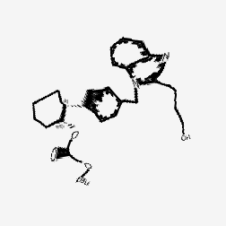 CC(C)(C)OC(=O)O[C@@H]1CCCC[C@@H]1c1ccc(Cn2c(CCCO)nc3ccccc32)cc1